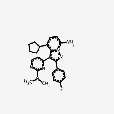 CN(C)c1nccc(-c2c(-c3ccc(F)cc3)nn3c(N)ccc(C4CCCC4)c23)n1